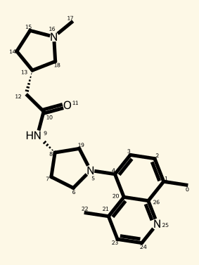 Cc1ccc(N2CC[C@H](NC(=O)C[C@@H]3CCN(C)C3)C2)c2c(C)ccnc12